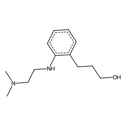 CN(C)CCNc1ccccc1CCCO